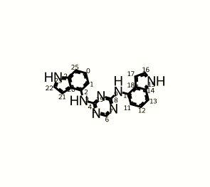 c1cc(Nc2ncnc(Nc3cccc4[nH]ccc34)n2)c2cc[nH]c2c1